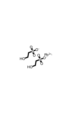 O=S(=O)([O-])CCO.O=S(=O)([O-])CCO.[Pb+2]